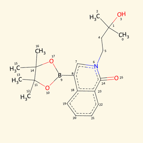 CC(C)(O)CCn1cc(B2OC(C)(C)C(C)(C)O2)c2ccccc2c1=O